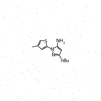 CCCCc1cc(N)n(-c2cc(C)cs2)n1